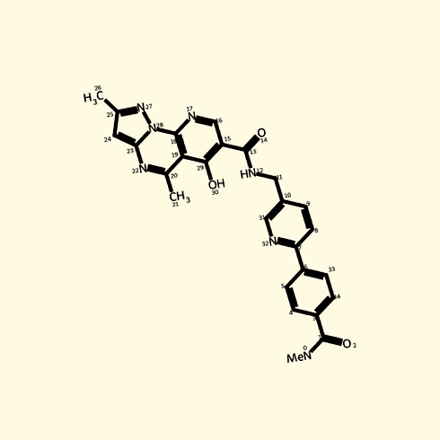 CNC(=O)c1ccc(-c2ccc(CNC(=O)c3cnc4c(c(C)nc5cc(C)nn54)c3O)cn2)cc1